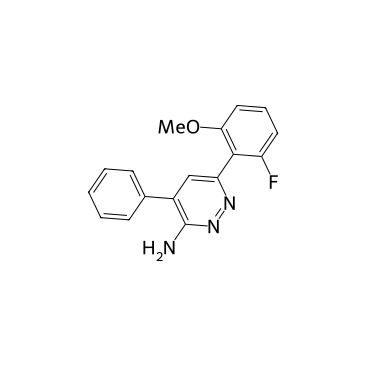 COc1cccc(F)c1-c1cc(-c2ccccc2)c(N)nn1